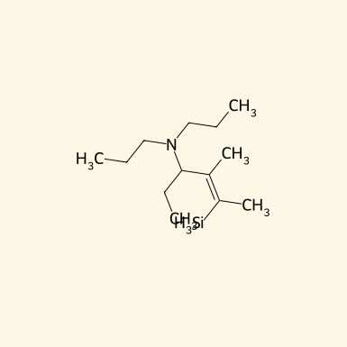 CCCN(CCC)C(CC)C(C)=C(C)[SiH3]